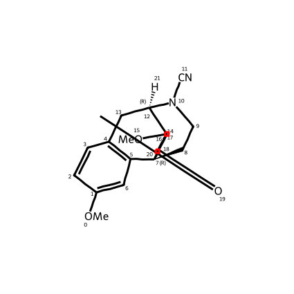 COc1ccc2c(c1)[C@]13CCN(C#N)[C@H](C2)C1(OC)CCC(=O)C3